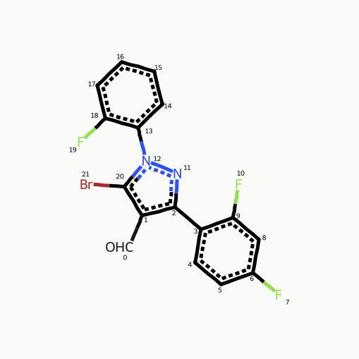 O=Cc1c(-c2ccc(F)cc2F)nn(-c2ccccc2F)c1Br